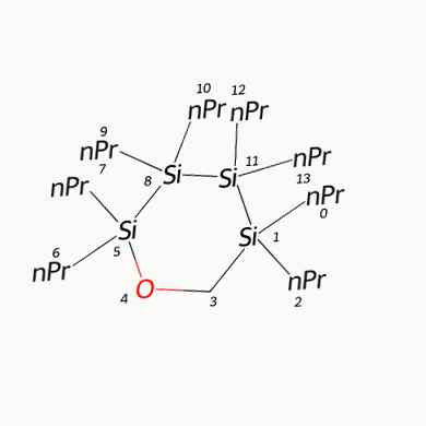 CCC[Si]1(CCC)CO[Si](CCC)(CCC)[Si](CCC)(CCC)[Si]1(CCC)CCC